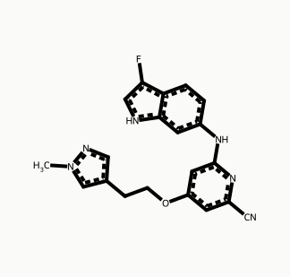 Cn1cc(CCOc2cc(C#N)nc(Nc3ccc4c(F)c[nH]c4c3)c2)cn1